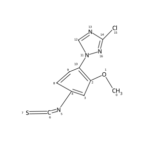 COc1cc(N=C=S)ccc1-n1cnc(Cl)n1